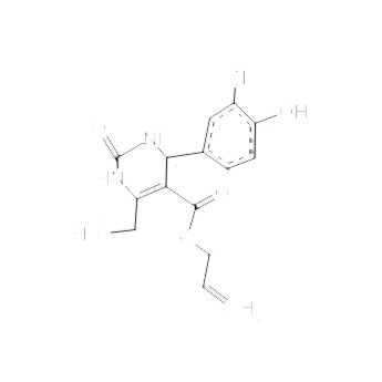 C=CCOC(=O)C1=C(CC)NC(=O)NC1c1ccc(O)c(Cl)c1